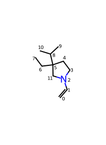 C=CN1CCC(CC)(C(C)C)C1